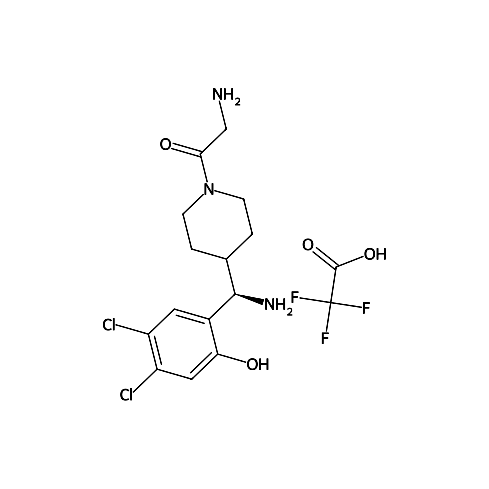 NCC(=O)N1CCC([C@@H](N)c2cc(Cl)c(Cl)cc2O)CC1.O=C(O)C(F)(F)F